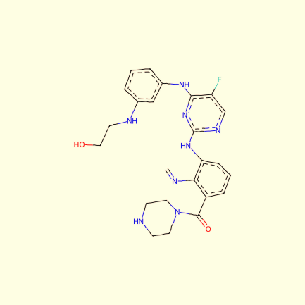 C=Nc1c(Nc2ncc(F)c(Nc3cccc(NCCO)c3)n2)cccc1C(=O)N1CCNCC1